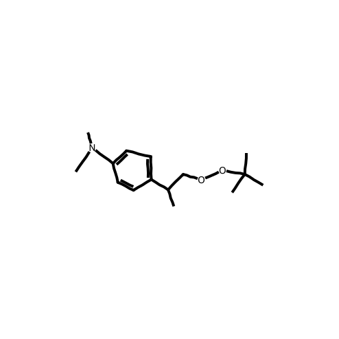 CC(COOC(C)(C)C)c1ccc(N(C)C)cc1